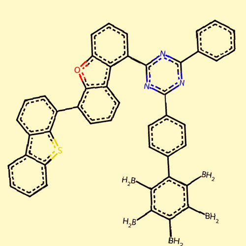 Bc1c(B)c(B)c(-c2ccc(-c3nc(-c4ccccc4)nc(-c4cccc5oc6c(-c7cccc8c7sc7ccccc78)cccc6c45)n3)cc2)c(B)c1B